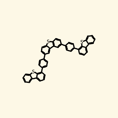 c1ccc2c(c1)sc1c(-c3ccc(-c4ccc5sc6ccc(-c7ccc(-c8cccc9c8sc8ccccc89)cc7)cc6c5c4)cc3)cccc12